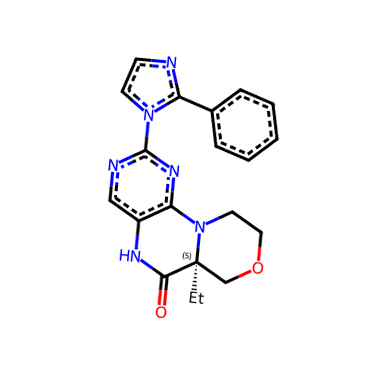 CC[C@@]12COCCN1c1nc(-n3ccnc3-c3ccccc3)ncc1NC2=O